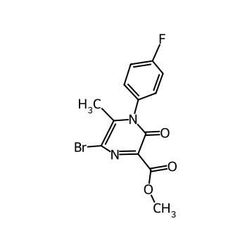 COC(=O)c1nc(Br)c(C)n(-c2ccc(F)cc2)c1=O